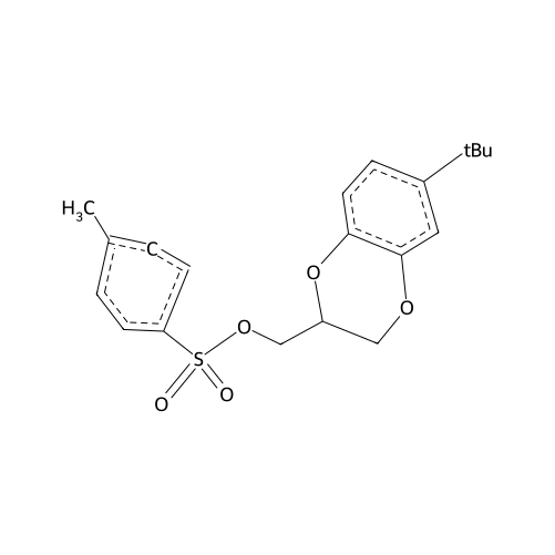 Cc1ccc(S(=O)(=O)OCC2COc3cc(C(C)(C)C)ccc3O2)cc1